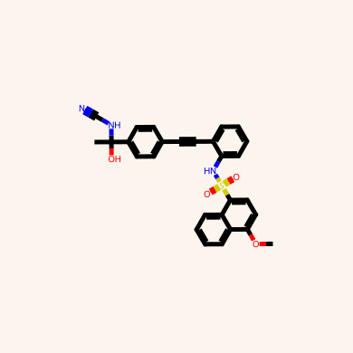 COc1ccc(S(=O)(=O)Nc2ccccc2C#Cc2ccc(C(C)(O)NC#N)cc2)c2ccccc12